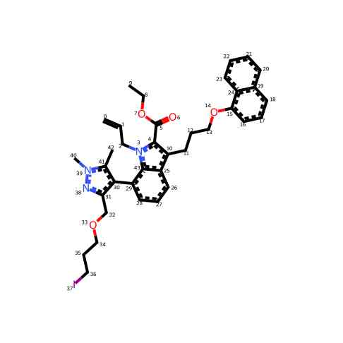 C=CCn1c(C(=O)OCC)c(CCCOc2cccc3ccccc23)c2cccc(-c3c(COCCCI)nn(C)c3C)c21